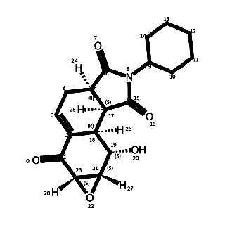 O=C1C2=CC[C@H]3C(=O)N(C4CCCCC4)C(=O)[C@H]3[C@H]2[C@H](O)[C@@H]2O[C@H]12